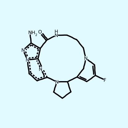 Nc1nn2ccc3nc2c1C(=O)NCCCN1C=C(F)C=C(C1)C1CCCN31